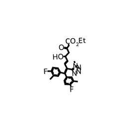 CCOC(=O)CC(=O)CC(O)C=CC(=C(c1ccc(F)c(C)c1)c1ccc(F)c(C)c1)c1nnnn1C